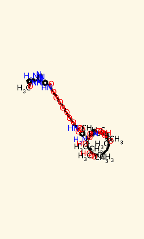 COc1cccc2cc(-c3nc([C@H]4CC[C@H](C(=O)NCCOCCOCCOCCOCCOCCOCCOCCNC(=O)O[C@@H]5CC[C@@H](C[C@@H](N)[C@@H]6C[C@@H](O)[C@H](C)/C=C(\C)[C@@H](O)[C@@H](OC)C(=O)[C@H](C)C[C@H](C)/C=C/C=C/C=C(\C)[C@@H](OC)C[C@@H]7CC[C@@H](C)[C@@](O)(O7)C(=O)C(=O)N7CCCC[C@H]7C(=O)O6)C[C@H]5OC)CC4)n4ncnc(N)c34)[nH]c12